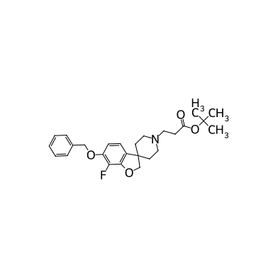 CC(C)(C)OC(=O)CCN1CCC2(CC1)COc1c2ccc(OCc2ccccc2)c1F